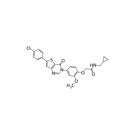 COc1cc(-n2cnc3cc(-c4ccc(Cl)cc4)sc3c2=O)ccc1OCC(=O)NCC1CC1